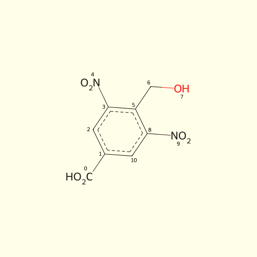 O=C(O)c1cc([N+](=O)[O-])c(CO)c([N+](=O)[O-])c1